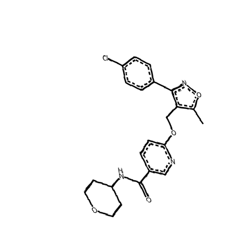 Cc1onc(-c2ccc(Cl)cc2)c1COc1ccc(C(=O)NC2CCOCC2)cn1